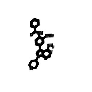 COc1cc(-c2cn(C3CCOCC3)c3ncnc(N)c23)ccc1NC(=O)c1ccccc1